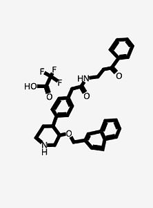 O=C(Cc1ccc(C2CCNCC2OCc2ccc3ccccc3c2)cc1)NCCC(=O)c1ccccc1.O=C(O)C(F)(F)F